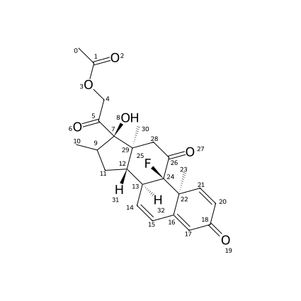 CC(=O)OCC(=O)[C@@]1(O)C(C)C[C@H]2[C@@H]3C=CC4=CC(=O)C=C[C@]4(C)[C@@]3(F)C(=O)C[C@@]21C